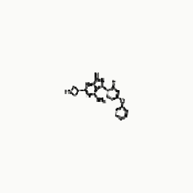 Nc1nc(C2CNC2)nc2[nH]nc(-c3ccc(Oc4ccccc4)cc3F)c12